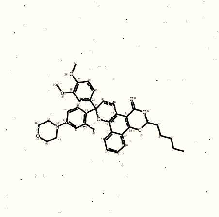 CCCCCC1OC(=O)c2c3c(c4ccccc4c2O1)OC(c1ccc(OC)c(OC)c1)(c1ccc(N2CCOCC2)cc1F)C=C3